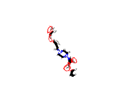 CCCOC(=O)N1CCN(CCOC=O)CC1